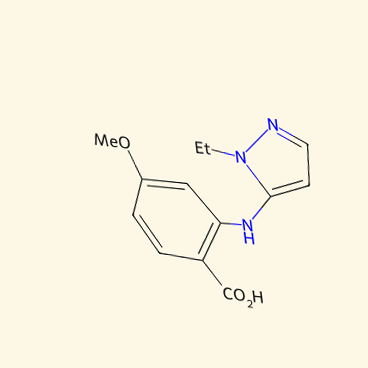 CCn1nccc1Nc1cc(OC)ccc1C(=O)O